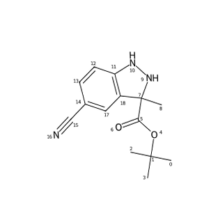 CC(C)(C)OC(=O)C1(C)NNc2ccc(C#N)cc21